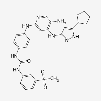 CS(=O)(=O)c1cccc(NC(=O)Nc2ccc(Nc3cc(Nc4cc(C5CCCC5)[nH]n4)c(N)cn3)cc2)c1